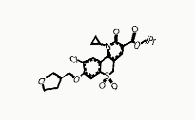 CC(C)OC(=O)c1cc2c(n(C3CC3)c1=O)-c1cc(Cl)c(OC[C@H]3CCOC3)cc1S(=O)(=O)C2